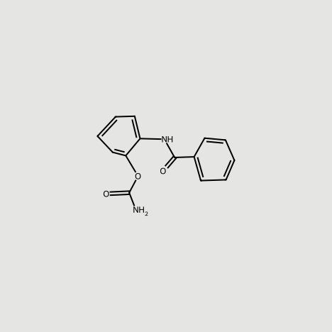 NC(=O)Oc1ccccc1NC(=O)c1ccccc1